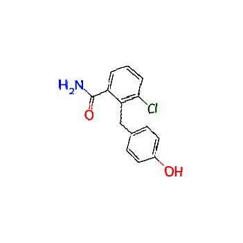 NC(=O)c1cccc(Cl)c1Cc1ccc(O)cc1